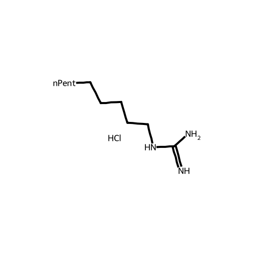 CCCCCCCCCCNC(=N)N.Cl